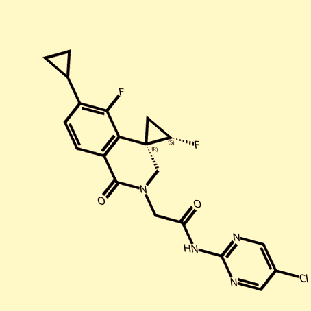 O=C(CN1C[C@@]2(C[C@@H]2F)c2c(ccc(C3CC3)c2F)C1=O)Nc1ncc(Cl)cn1